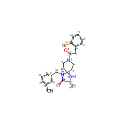 CC(C)C1NC2(CCN(C(=O)Cc3ccccc3Br)CC2)N(Cc2cccc(C#N)c2)C1=O